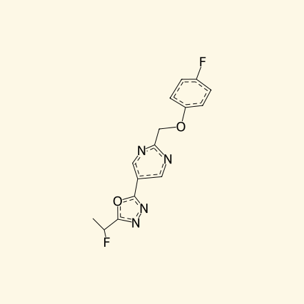 CC(F)c1nnc(-c2cnc(COc3ccc(F)cc3)nc2)o1